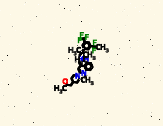 C\C=N/C(=C\C(=C\NCC(C)(C)c1cc(C(C)(F)F)cc(C(F)(F)F)c1)c1ccccc1C)N1CCC(CC(C)=O)CC1